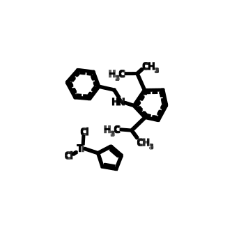 CC(C)c1cccc(C(C)C)c1NCc1ccccc1.[Cl][Ti]([Cl])[CH]1C=CC=C1